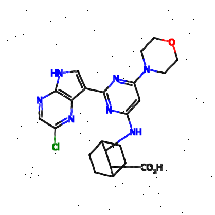 O=C(O)C1C2CCC(CC2)C1Nc1cc(N2CCOCC2)nc(-c2c[nH]c3ncc(Cl)nc23)n1